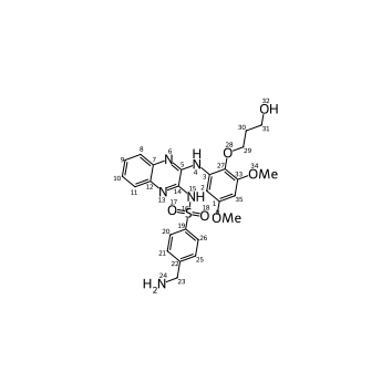 COc1cc(Nc2nc3ccccc3nc2NS(=O)(=O)c2ccc(CN)cc2)c(OCCCO)c(OC)c1